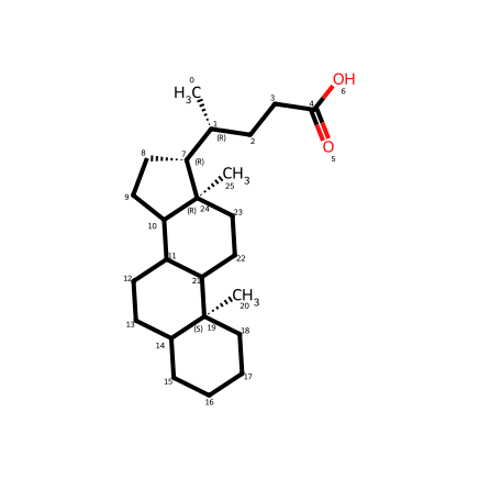 C[C@H](CCC(=O)O)[C@H]1CCC2C3CCC4CCCC[C@]4(C)C3CC[C@@]21C